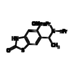 CCCN(CCC)C(C)c1cc2sc(=O)[nH]c2cc1OC